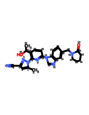 Cc1cc(C#N)nn1-c1nc(-n2cnc3cc(CN4CCCCC4=O)ccc32)ccc1C(C)O